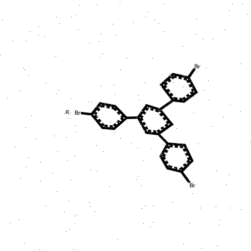 Brc1ccc(-c2cc(-c3ccc(Br)cc3)cc(-c3ccc(Br)cc3)c2)cc1.[K]